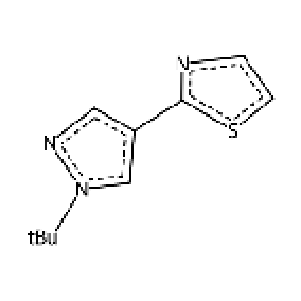 CC(C)(C)n1cc(-c2nccs2)cn1